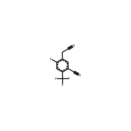 N#CCc1cc(C#N)c(C(F)(F)F)cc1F